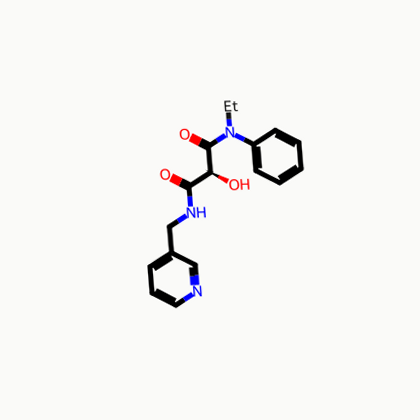 CCN(C(=O)[C@@H](O)C(=O)NCc1cccnc1)c1ccccc1